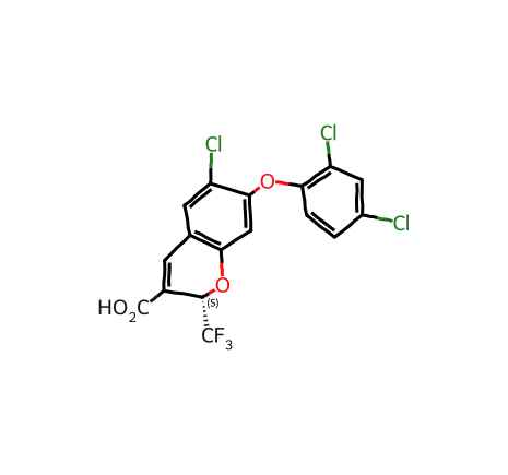 O=C(O)C1=Cc2cc(Cl)c(Oc3ccc(Cl)cc3Cl)cc2O[C@@H]1C(F)(F)F